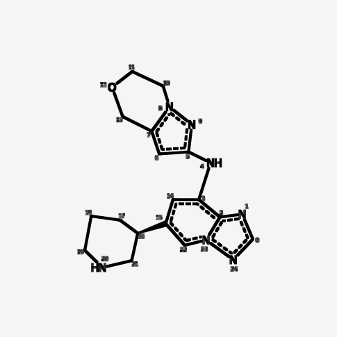 c1nc2c(Nc3cc4n(n3)CCOC4)cc([C@@H]3CCCNC3)cn2n1